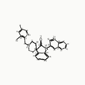 Cc1cnc(CN2CCC3(CC2)C(=O)N(c2cnc4ccccc4c2)c2ccccc23)c(C)c1